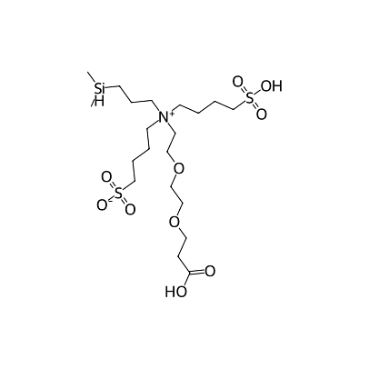 C[SiH](C)CCC[N+](CCCCS(=O)(=O)[O-])(CCCCS(=O)(=O)O)CCOCCOCCC(=O)O